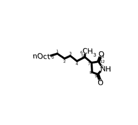 CCCCCCCCCCCCC(C)C1CC(=O)NC1=O